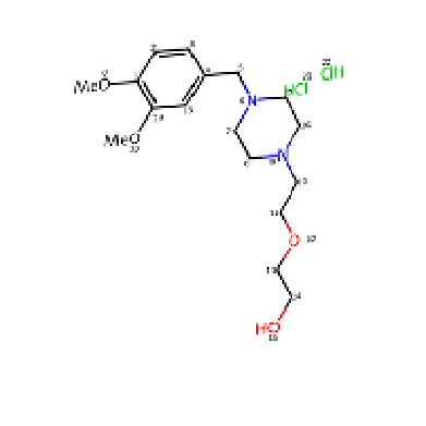 COc1ccc(CN2CCN(CCOCCO)CC2)cc1OC.Cl.Cl